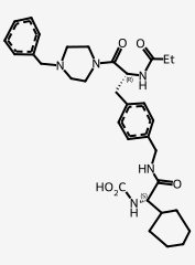 CCC(=O)N[C@H](Cc1ccc(CNC(=O)[C@@H](NC(=O)O)C2CCCCC2)cc1)C(=O)N1CCN(Cc2ccccc2)CC1